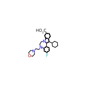 O=C(O)c1ccc2c(C3CCCCC3)c3n(c2c1)CCN(CCN1CCOCC1)c1cc(F)ccc1-3